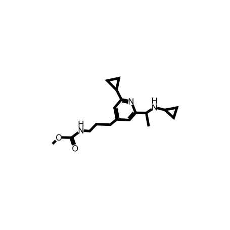 COC(=O)NCCCc1cc(C2CC2)nc(C(C)NC2CC2)c1